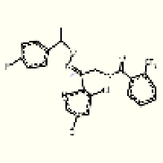 CC(O/N=C(\CNC(=O)c1ccccc1C(F)(F)F)c1ncc(Cl)cc1Cl)c1ccc(F)cc1